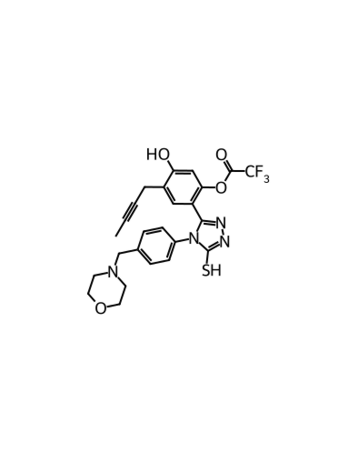 CC#CCc1cc(-c2nnc(S)n2-c2ccc(CN3CCOCC3)cc2)c(OC(=O)C(F)(F)F)cc1O